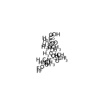 CC(C)C1=C2[C@H]3CC[C@@H]4[C@@]5(C)CC[C@H](OC(=O)[C@H]6C[C@@H](C(=O)O)C6(C)C)C(C)(C)[C@@H]5CC[C@@]4(C)[C@]3(C)CC[C@@]2(CCNCC(C)(C)NC(=O)c2ccc(C(F)(F)F)cc2)CC1=O